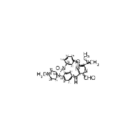 C=C(C)c1nc(C=O)c(Nc2ccc(N3CCN(C)CC3)cc2)nc1Oc1cccc([N+](=O)[O-])c1